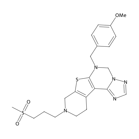 COc1ccc(CN2Cn3ncnc3-c3c2sc2c3CCN(CCCS(C)(=O)=O)C2)cc1